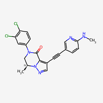 CNc1ccc(C#Cc2cnn3c2C(=O)N(c2ccc(Cl)c(Cl)c2)C[C@@H]3C)cn1